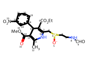 CCOC(=O)C1=C(C[S+]([O-])CCNC=O)NC(C)=C(C(=O)OC)C1c1cccc([N+](=O)[O-])c1